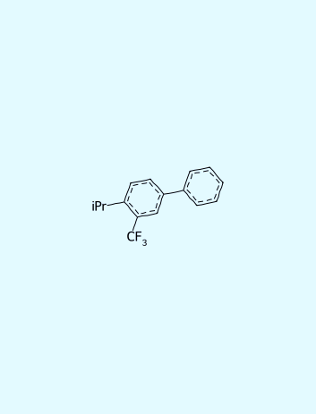 CC(C)c1ccc(-c2ccccc2)cc1C(F)(F)F